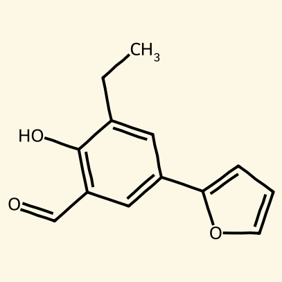 CCc1cc(-c2ccco2)cc(C=O)c1O